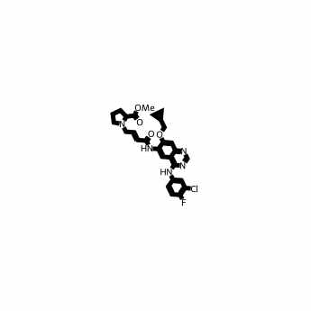 COC(=O)C1CCCN1CC=CC(=O)Nc1cc2c(Nc3ccc(F)c(Cl)c3)ncnc2cc1OCC1CC1